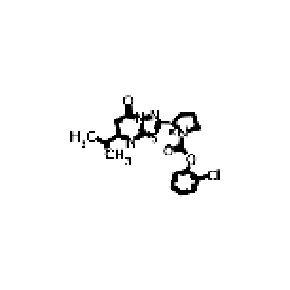 CC(C)c1cc(=O)n2nc([C@H]3CCCN3C(=O)Oc3ccccc3Cl)sc2n1